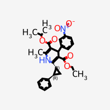 CCOC(=O)C1=C([C@@H]2C[C@H]2c2ccccc2)NC(C)=C(C(=O)OC(C)C)C1c1cccc([N+](=O)[O-])c1